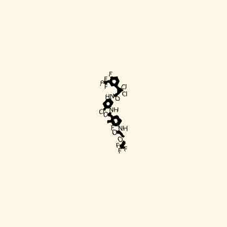 Cc1c(C(=O)Nc2cc(NC(=O)C3C(c4ccc(F)c(C(F)(F)F)c4)C3(Cl)Cl)ccc2Cl)ccc(NC(=O)COCC(F)(F)F)c1F